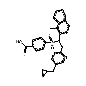 Cc1c(N(Cc2ncc(CC3CC3)cn2)S(=O)(=O)c2ccc(C(=O)O)cc2)ncc2ccccc12